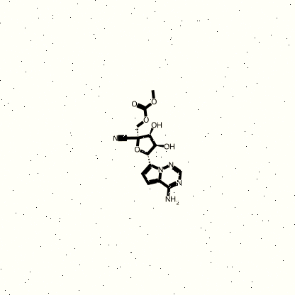 COC(=O)OC[C@@]1(C#N)O[C@@H](c2ccc3c(N)ncnn23)[C@H](O)[C@@H]1O